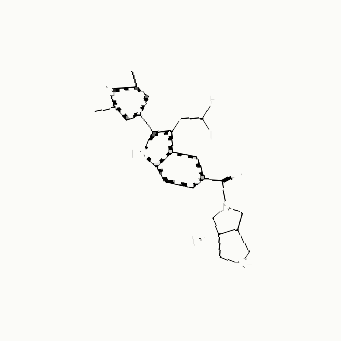 Cc1cc(-c2[nH]c3ccc(C(=O)N4CC5CNC[C@H]5C4)cc3c2CC(F)F)cc(C)n1